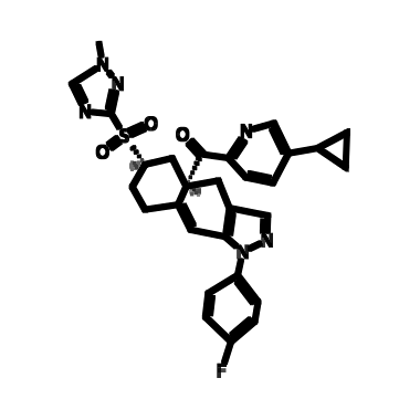 Cn1cnc(S(=O)(=O)[C@H]2CCC3=Cc4c(cnn4-c4ccc(F)cc4)C[C@]3(C(=O)c3ccc(C4CC4)cn3)C2)n1